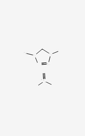 CN1CN(N)[C+]=N1.O=[N+]([O-])[O-]